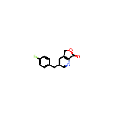 O=C1OCc2cc(Cc3ccc(F)cc3)cnc21